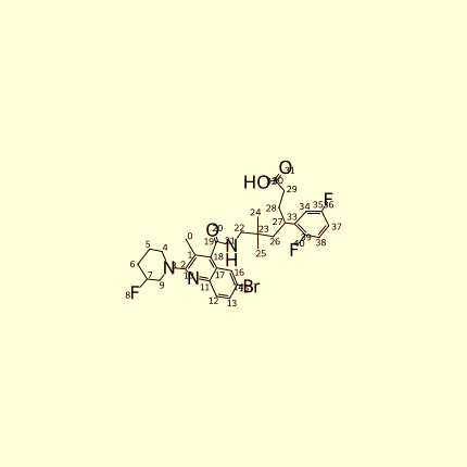 Cc1c(N2CCCC(F)C2)nc2ccc(Br)cc2c1C(=O)NCC(C)(C)CC(CCC(=O)O)c1cc(F)ccc1F